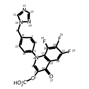 O=C(O)Oc1cn(-c2ccc(Cn3cncn3)cc2)c2c(F)c(F)c(F)cc2c1=O